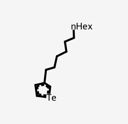 CCCCCCCCCCCCc1cc[te]c1